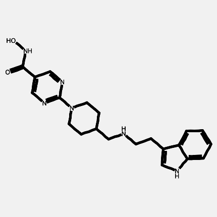 O=C(NO)c1cnc(N2CCC(CNCCc3c[nH]c4ccccc34)CC2)nc1